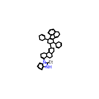 CCC1Nc2ccccc2N1C1=CCCC2C3=CC(C4CC(C5C=CCCC5)C5=C(C6=CCCc7cccc5c76)C4C4C=CC=CC4)CCC3CCC12